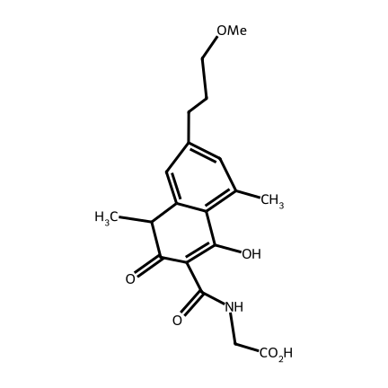 COCCCc1cc(C)c2c(c1)C(C)C(=O)C(C(=O)NCC(=O)O)=C2O